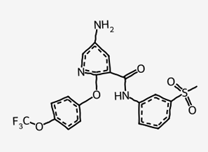 CS(=O)(=O)c1cccc(NC(=O)c2cc(N)cnc2Oc2ccc(OC(F)(F)F)cc2)c1